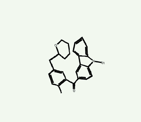 CCn1c2ccccc2c2cc(C(=O)c3cc(CC4CCCCO4)ccc3C)ccc21